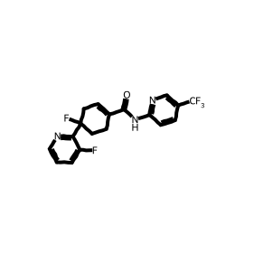 O=C(Nc1ccc(C(F)(F)F)cn1)C1=CCC(F)(c2ncccc2F)CC1